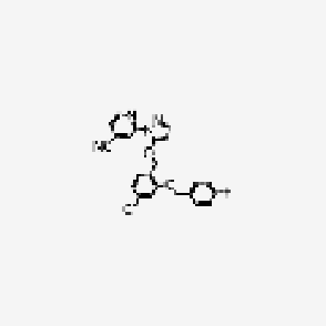 N#Cc1ccnc(-n2nccc2OCc2ccc(Cl)cc2OCc2ccc(F)cc2)c1